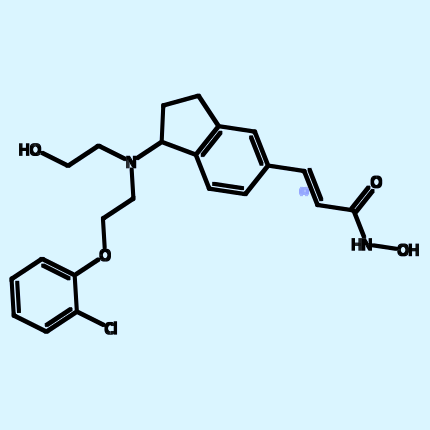 O=C(/C=C/c1ccc2c(c1)CCC2N(CCO)CCOc1ccccc1Cl)NO